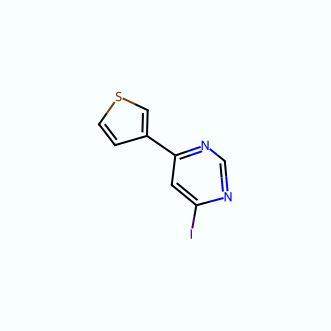 Ic1cc(-c2ccsc2)ncn1